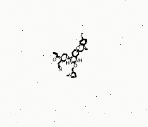 C=CC(=O)N1CCN(C2NC(OCC3CCCN3C)NC3C[C@]4(CCC32)CN(C)c2ccc(F)cc2O4)CC1CC#N